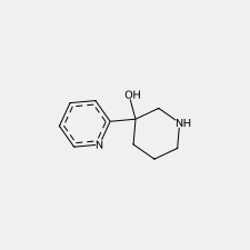 OC1(c2ccccn2)CCCNC1